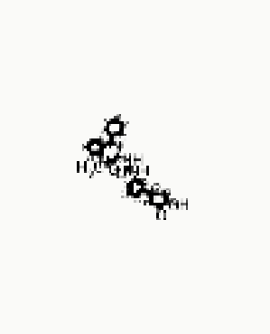 CN1C(=O)[C@H](NC(=O)Nc2cccc(-c3cc(=O)c(O)co3)c2)N=C(C2CCCCC2)c2ccccc21